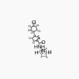 O=C(N[C@@H]1C[C@H]2CC[C@@H]1N2)c1ccc(-c2ccc(Cl)cc2)s1